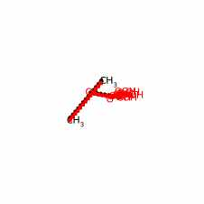 CCCCCCCCCCCCCCCC=CC(=O)C(CCCCCCCC)CCCCCCCCC(=O)OC[C@H](CO)OP(=O)(O)OC[C@@H](O)[C@@H](O)[C@H](O)CO